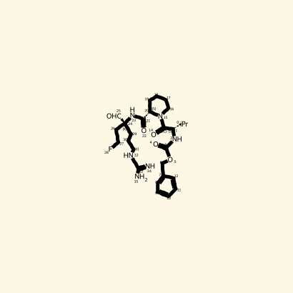 CC(C)[C@H](NC(=O)OCc1ccccc1)C(=O)N1CCCC[C@H]1C(=O)N[C@@](C=O)(CCF)CCCNC(=N)N